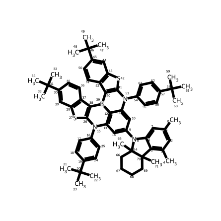 Cc1cc(C)c2c(c1)N(c1cc3c4c(c1)N(c1ccc(C(C)(C)C)cc1)c1sc5cc(C(C)(C)C)ccc5c1B4c1c(sc4cc(C(C)(C)C)ccc14)N3c1ccc(C(C)(C)C)cc1)C1(C)CCCCC21C